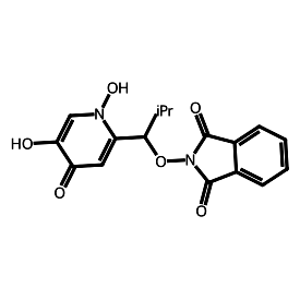 CC(C)C(ON1C(=O)c2ccccc2C1=O)c1cc(=O)c(O)cn1O